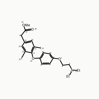 CCN(CC)CCOc1ccc(Oc2c(I)cc(CC(=O)OC)cc2I)cc1